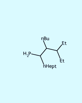 CCCCCCCC(P)C(CCCC)C(CC)CC